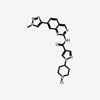 CCN1CCC(n2cc(C(=O)Nc3ncc4ccc(-c5cn(C)nn5)cc4n3)cn2)CC1